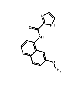 COc1ccc2nccc(NC(=O)c3ncc[nH]3)c2c1